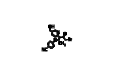 Cc1c(C(=O)CBr)c2ncc(CO)cc2n1-c1ccc(C#N)cc1